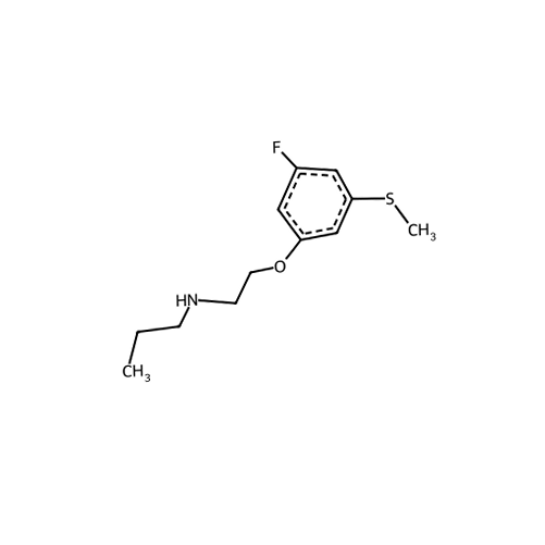 CCCNCCOc1cc(F)cc(SC)c1